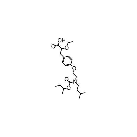 CCOC(Cc1ccc(OCCN(CCC(C)C)C(=O)OC(C)CC)cc1)C(=O)O